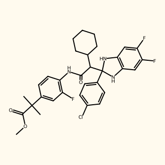 COC(=O)C(C)(C)c1ccc(NC(=O)C(C2CCCCC2)C2(c3ccc(Cl)cc3)Nc3cc(F)c(F)cc3N2)c(F)c1